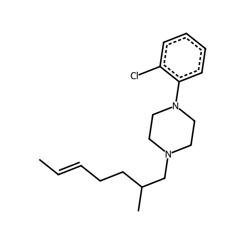 CC=CCCC(C)CN1CCN(c2ccccc2Cl)CC1